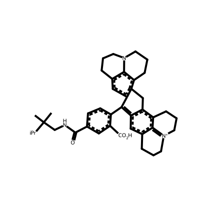 CC(C)C(C)(C)CNC(=O)c1ccc(C2=c3cc4c5c(c3Cc3c2cc2c6c3CCCN6CCC2)CCC[N+]=5CCC4)c(C(=O)O)c1